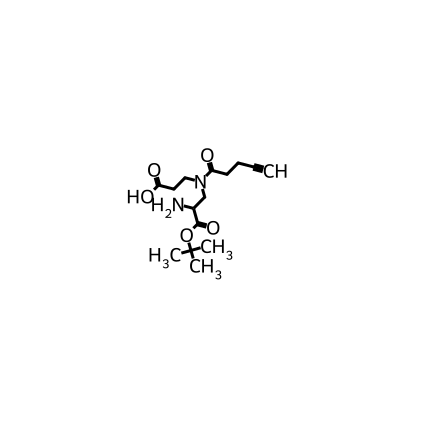 C#CCCC(=O)N(CCC(=O)O)CC(N)C(=O)OC(C)(C)C